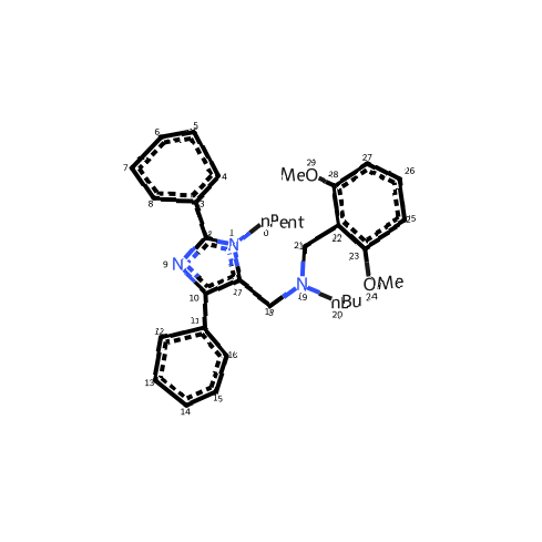 CCCCCn1c(-c2ccccc2)nc(-c2ccccc2)c1CN(CCCC)Cc1c(OC)cccc1OC